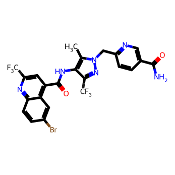 Cc1c(NC(=O)c2cc(C(F)(F)F)nc3ccc(Br)cc23)c(C(F)(F)F)nn1Cc1ccc(C(N)=O)cn1